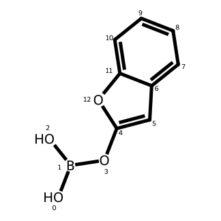 OB(O)Oc1cc2ccccc2o1